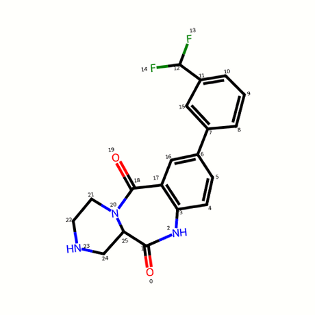 O=C1Nc2ccc(-c3cccc(C(F)F)c3)cc2C(=O)N2CCNCC12